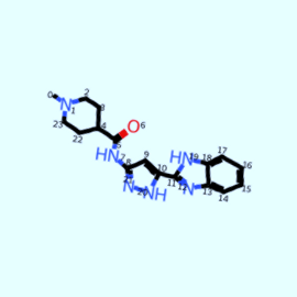 CN1CCC(C(=O)Nc2cc(-c3nc4ccccc4[nH]3)[nH]n2)CC1